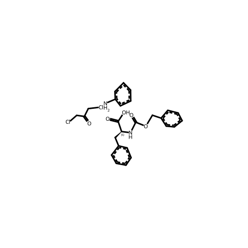 Nc1ccccc1.O=C(CCl)CCl.O=C(N[C@@H](Cc1ccccc1)C(=O)O)OCc1ccccc1